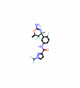 C=C1OC(N)=N[C@](C)(c2cc(NC(=O)c3ccn(C(F)F)n3)ccc2F)C1(F)F